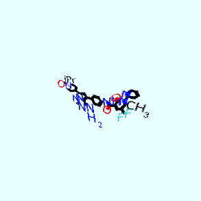 Cc1c(C(F)F)cc(C(=O)Nc2ccc(-c3cc(C4CCN(C(=O)C(C)C)CC4)n4ncnc(N)c34)cc2)c(=O)n1-c1ccccn1